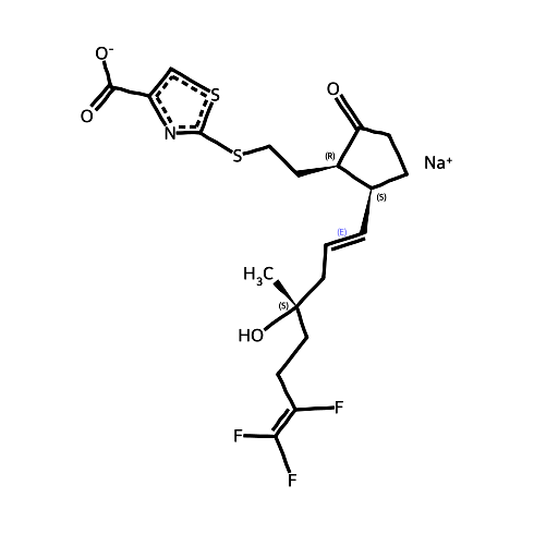 C[C@@](O)(C/C=C/[C@@H]1CCC(=O)[C@@H]1CCSc1nc(C(=O)[O-])cs1)CCC(F)=C(F)F.[Na+]